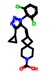 O=C(O)N1CCC2(CC1)CC(=Cc1c(C3CC3)nnn1-c1c(Cl)cccc1Cl)C2